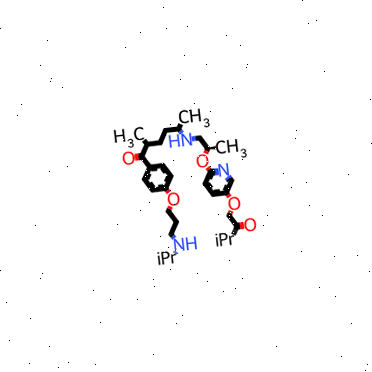 CC(C)NCCCOc1ccc(C(=O)C(C)CCC(C)NC[C@@H](C)Oc2ccc(OCC(=O)C(C)C)cn2)cc1